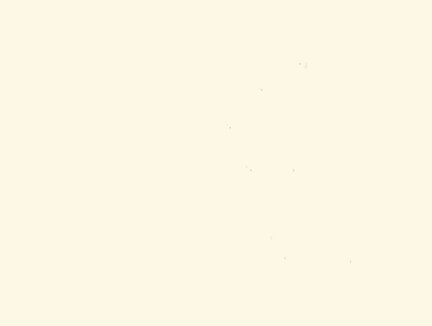 CC(C)C[C@H](CO)Nc1nc(SCc2ccc(F)c(F)c2)nc2nc(N)sc12